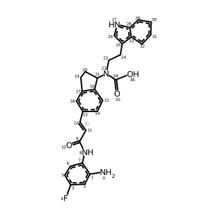 Nc1cc(F)ccc1NC(=O)/C=C/c1ccc2c(c1)CCC2N(CCc1c[nH]c2ccccc12)C(=O)O